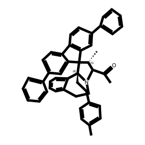 CC(=O)C1[C@@H](C)C2(c3cc(-c4ccccc4)ccc3-c3ccc(-c4ccccc4)cc32)[C@@]2(CCc3ccc(C)cc3)c3ccccc3CCN12